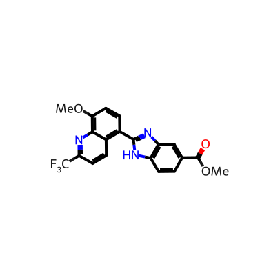 COC(=O)c1ccc2[nH]c(-c3ccc(OC)c4nc(C(F)(F)F)ccc34)nc2c1